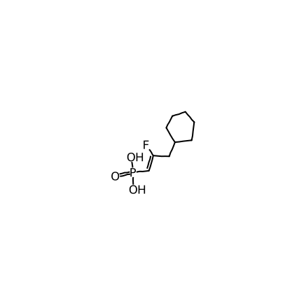 O=P(O)(O)C=C(F)CC1CCCCC1